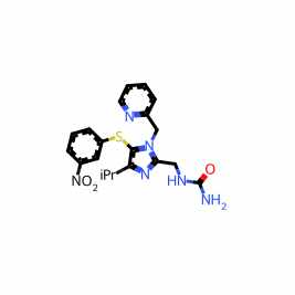 CC(C)c1nc(CNC(N)=O)n(Cc2ccccn2)c1Sc1cccc([N+](=O)[O-])c1